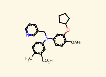 COc1ccc(N(Cc2cccnc2)c2ccc(C(F)(F)F)c(C(=O)O)c2)cc1OC1CCCC1